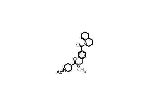 CC(=O)N1CCC(C(=O)N(C)Cc2ccc(C(=O)N3CCCC4CCCC=C43)cc2)CC1